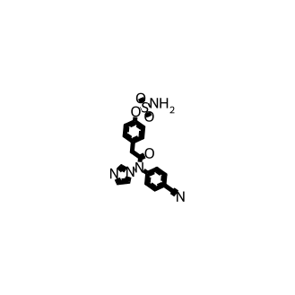 N#Cc1ccc(N(C(=O)Cc2ccc(OS(N)(=O)=O)cc2)n2ccnc2)cc1